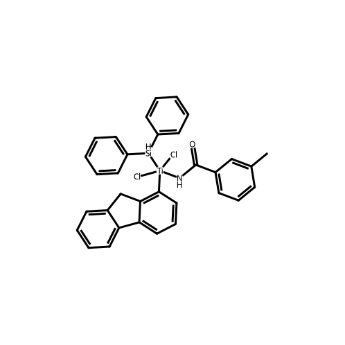 Cc1cccc(C(=O)[NH][Ti]([Cl])([Cl])([c]2cccc3c2Cc2ccccc2-3)[SiH](c2ccccc2)c2ccccc2)c1